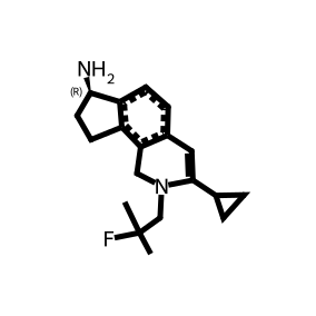 CC(C)(F)CN1Cc2c(ccc3c2CC[C@H]3N)C=C1C1CC1